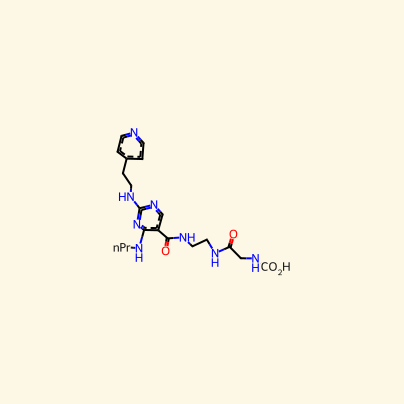 CCCNc1nc(NCCc2ccncc2)ncc1C(=O)NCCNC(=O)CNC(=O)O